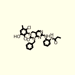 CCC(=O)Nc1ccccc1Nc1ncc2c(n1)N(Cc1ccccc1)C(=O)N(c1c(Cl)c(C)cc(O)c1Cl)C2